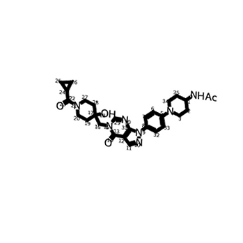 CC(=O)NC1CCN(c2ccc(-n3ncc4c(=O)n(CC5(O)CCN(C(=O)C6CC6)CC5)cnc43)cc2)CC1